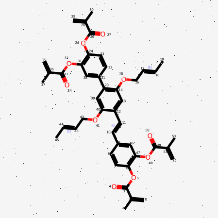 C=C(C)C(=O)Oc1ccc(/C=C/c2cc(OC/C=C/C)c(-c3ccc(OC(=O)C(=C)C)c(OC(=O)C(=C)C)c3)cc2OC/C=C/C)cc1OC(=O)C(=C)C